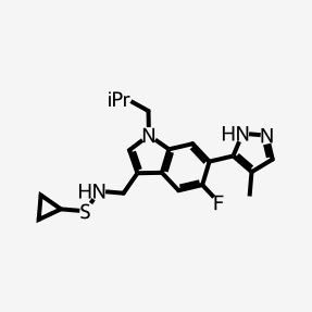 Cc1cn[nH]c1-c1cc2c(cc1F)c(CNSC1CC1)cn2CC(C)C